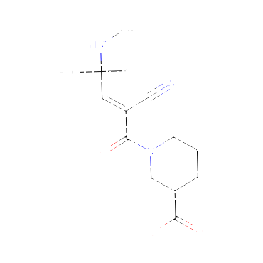 CNC(C)(C)C=C(C#N)C(=O)N1CCCC(C(=O)O)C1